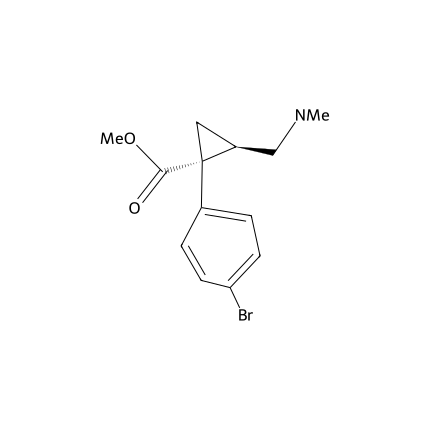 CNC[C@@H]1C[C@]1(C(=O)OC)c1ccc(Br)cc1